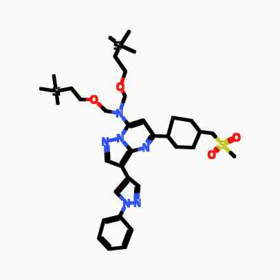 C[Si](C)(C)CCOCN(COCC[Si](C)(C)C)c1cc(C2CCC(CS(C)(=O)=O)CC2)nc2c(-c3cnn(-c4ccccc4)c3)cnn12